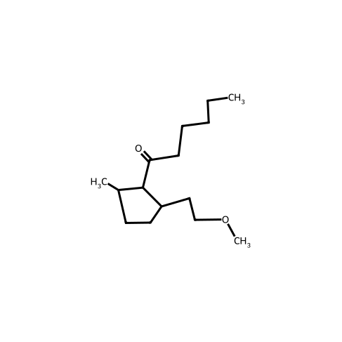 CCCCCC(=O)C1C(C)CCC1CCOC